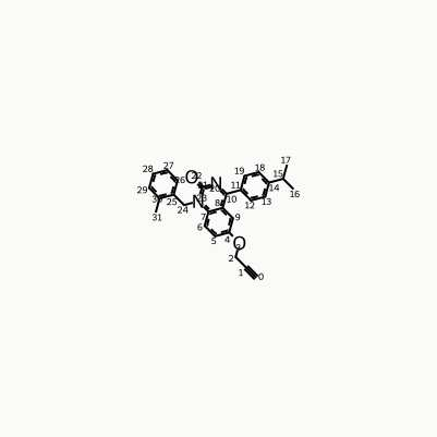 C#CCOc1ccc2c(c1)c(-c1ccc(C(C)C)cc1)nc(=O)n2Cc1ccccc1C